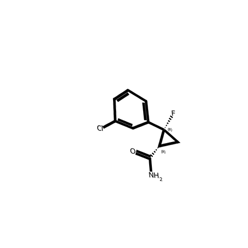 NC(=O)[C@H]1C[C@]1(F)c1cccc(Cl)c1